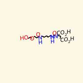 O=C(O)CCC(NC(=O)NCCCCCNC(=O)CCOCCO)C(=O)O